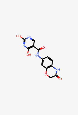 O=C1COc2cc(NC(=O)c3cnc(O)nc3O)ccc2N1